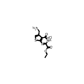 CCOC(=O)c1nc2scc(CN)c2c(=O)[nH]1.Cl